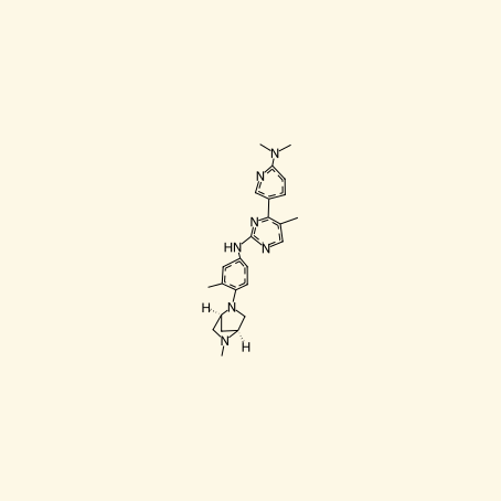 Cc1cc(Nc2ncc(C)c(-c3ccc(N(C)C)nc3)n2)ccc1N1C[C@@H]2C[C@H]1CN2C